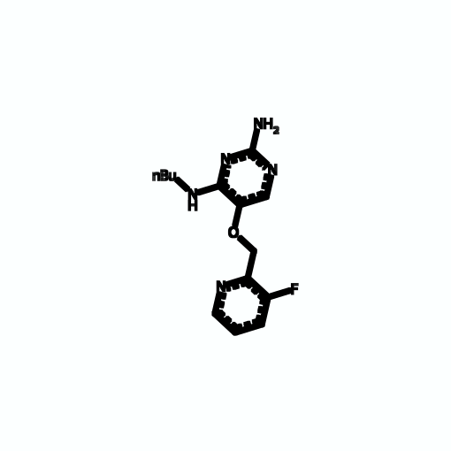 CCCCNc1nc(N)ncc1OCc1ncccc1F